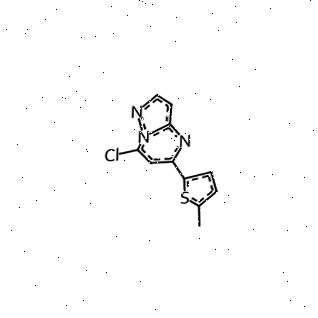 Cc1ccc(-c2cc(Cl)n3nccc3n2)s1